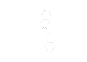 Oc1nc(NCc2ccc(F)cc2)nc2ccc(Br)cc12